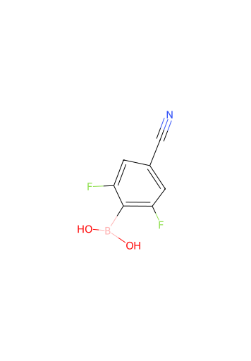 N#Cc1cc(F)c(B(O)O)c(F)c1